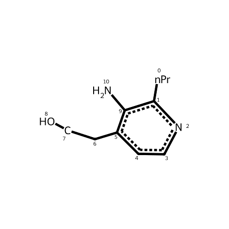 CCCc1nccc(CCO)c1N